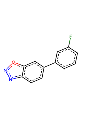 Fc1cc[c]c(-c2ccc3nnoc3c2)c1